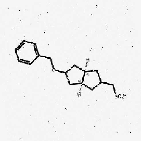 O=S(=O)(O)CC1C[C@@H]2CC(OCc3ccccc3)C[C@@H]2C1